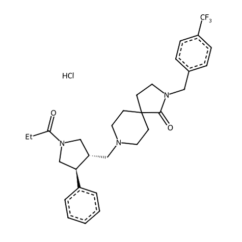 CCC(=O)N1C[C@H](CN2CCC3(CC2)CCN(Cc2ccc(C(F)(F)F)cc2)C3=O)[C@@H](c2ccccc2)C1.Cl